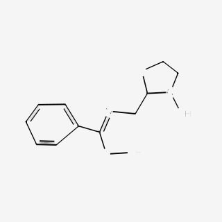 CS/C(=N\CC1SCCN1C)c1ccccc1